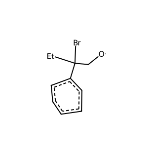 CCC(Br)(C[O])c1ccccc1